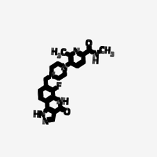 CNC(=O)c1ccc(N2CCN(Cc3ccc4c([nH]c(=O)c5cn[nH]c54)c3F)CC2)c(C)n1